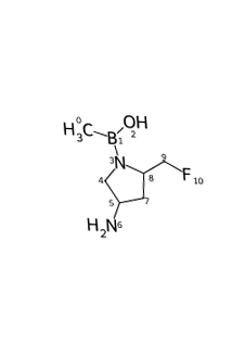 CB(O)N1CC(N)CC1CF